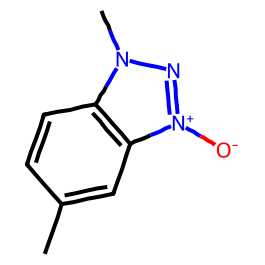 Cc1ccc2c(c1)[n+]([O-])nn2C